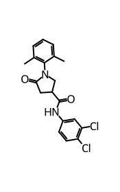 Cc1cccc(C)c1N1CC(C(=O)Nc2ccc(Cl)c(Cl)c2)CC1=O